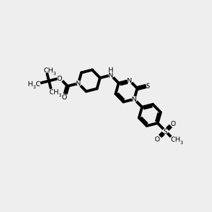 CC(C)(C)OC(=O)N1CCC(Nc2ccn(-c3ccc(S(C)(=O)=O)cc3)c(=S)n2)CC1